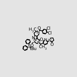 CC(c1ccc(N2CCCC2=O)nc1)N1C[C@@H](CO[Si](c2ccccc2)(c2ccccc2)C(C)(C)C)n2nc3c(c2C1=O)CN(C(=O)c1ccc(Cl)c(Cl)c1)[C@H](C)C3